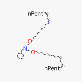 CCCCC/C=C\C/C=C\CCCCCCCCOCCN(CCOCCCCCCCC/C=C\C/C=C\CCCCC)Cc1ccccc1